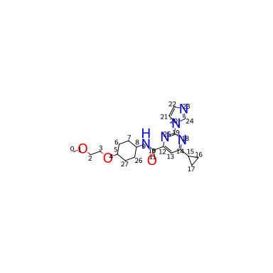 COCCOC1CCC(NC(=O)c2cc(C3CC3)nc(-n3ccnc3)n2)CC1